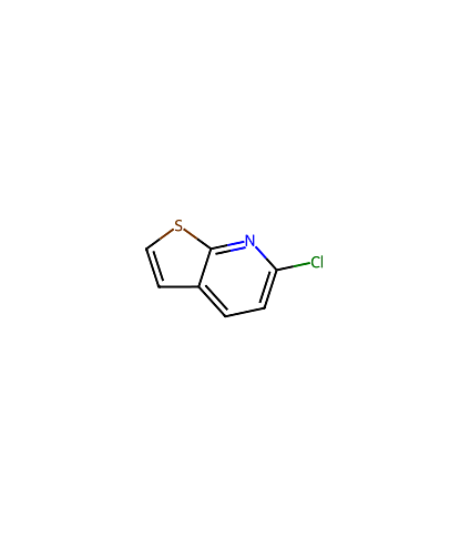 Clc1ccc2ccsc2n1